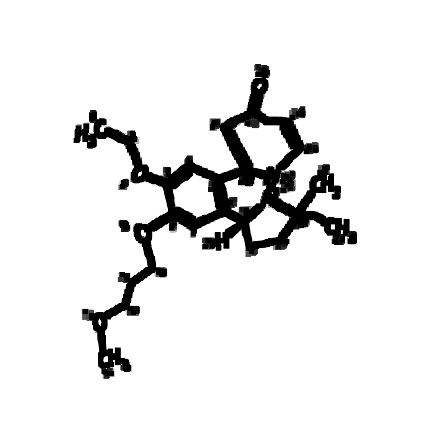 CCOc1cc2c(cc1OCCCOC)[C@H]1CCC(C)(C)N1n1ccc(=O)cc1-2